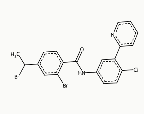 CC(Br)c1ccc(C(=O)Nc2ccc(Cl)c(-c3ccccn3)c2)c(Br)c1